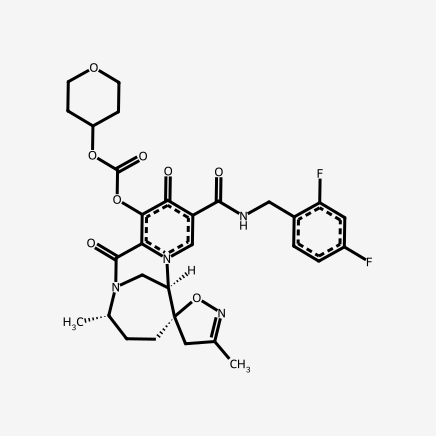 CC1=NO[C@@]2(CC[C@H](C)N3C[C@H]2n2cc(C(=O)NCc4ccc(F)cc4F)c(=O)c(OC(=O)OC4CCOCC4)c2C3=O)C1